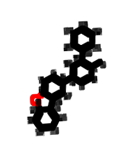 Cc1ccc(-c2ccc3oc4ccccc4c3c2)cc1-c1ccccc1